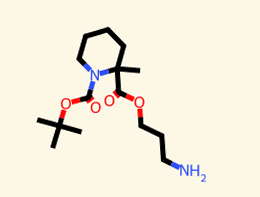 CC(C)(C)OC(=O)N1CCCCC1(C)C(=O)OCCCN